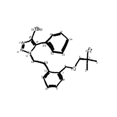 CCC(C)(C)COCc1ccccc1CCn1nnc(C(C)(C)C)c1-c1ccccc1